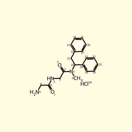 CN(C(=O)CNC(=O)CN)C(Cc1ccccc1)c1ccccc1.Cl